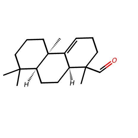 CC1(C)CCC[C@@]2(C)C3=CCCC(C)(C=O)[C@H]3CC[C@@H]12